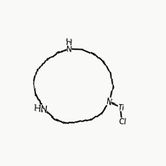 [Cl][Ti][N]1CCCCCNCCCCCNCCCCC1